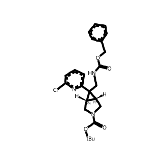 CC(C)(C)OC(=O)N1C[C@@H]2[C@H](C1)C2(CNC(=O)OCc1ccccc1)c1cccc(Cl)n1